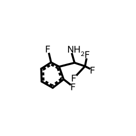 NC(c1c(F)cccc1F)C(F)(F)F